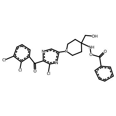 O=C(ONC1(CO)CCN(c2cnc(C(=O)c3cccc(Cl)c3Cl)c(Cl)n2)CC1)c1ccccc1